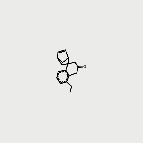 CCc1cccc2c1CC(=O)CC21CC2C=CC1C2